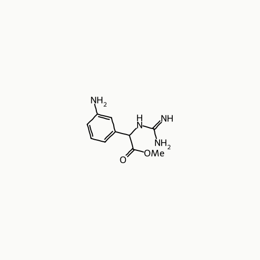 COC(=O)C(NC(=N)N)c1cccc(N)c1